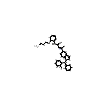 C/C(=C\C(=O)Nc1ccccc1OCCCC(=O)O)c1ccc2c(ccn2C(c2ccccc2)c2ccccc2C)c1